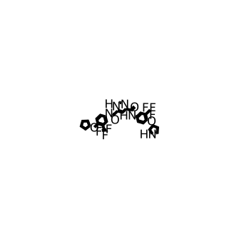 O=C(Nc1ccc(OC2CCCC2)c(C(F)(F)F)c1)c1cc(C(=O)Nc2ccc(O[C@@H]3CCNC3)c(C(F)(F)F)c2)ncn1